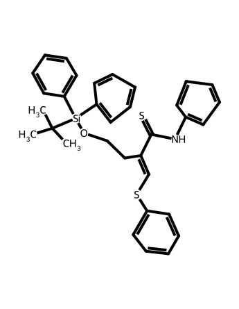 CC(C)(C)[Si](OCC/C(=C\Sc1ccccc1)C(=S)Nc1ccccc1)(c1ccccc1)c1ccccc1